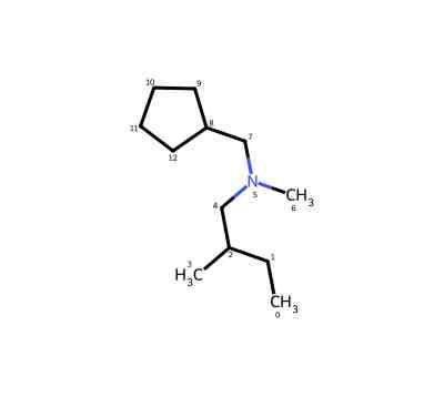 CCC(C)CN(C)CC1CCCC1